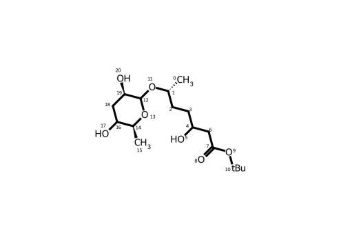 C[C@H](CCC(O)CC(=O)OC(C)(C)C)OC1O[C@@H](C)C(O)C[C@H]1O